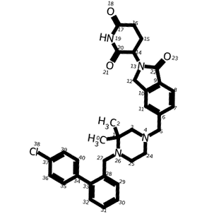 CC1(C)CN(Cc2ccc3c(c2)CN(C2CCC(=O)NC2=O)C3=O)CCN1Cc1ccccc1-c1ccc(Cl)cc1